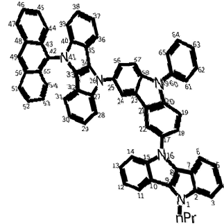 CCCn1c2ccccc2c2c1c1ccccc1n2-c1ccc2c(c1)c1cc(-n3c4ccccc4c4c3c3ccccc3n4-c3c4ccccc4cc4ccccc34)ccc1n2-c1ccccc1